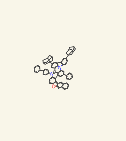 c1ccc(-c2ccc(N3B4c5c(cc(-c6ccccc6)cc5-n5c6ccc(C78CC9CC(CC(C9)C7)C8)cc6c6cc(C78CC9CC(CC(C9)C7)C8)cc4c65)-c4c3ccc3oc5cc6ccccc6cc5c43)cc2)cc1